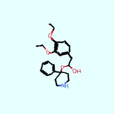 CCOc1ccc(CC(O)OC2(c3ccccc3)CCNCC2)cc1OCC